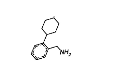 NCc1ccccc1C1CC[CH]CC1